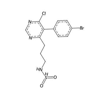 O=[SH](=O)NCCCc1ncnc(Cl)c1-c1ccc(Br)cc1